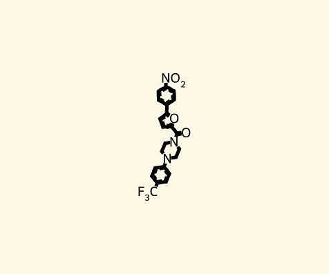 O=C(c1ccc(-c2ccc([N+](=O)[O-])cc2)o1)N1CCN(c2ccc(C(F)(F)F)cc2)CC1